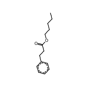 CCCCCOC(=O)CCc1ccccc1